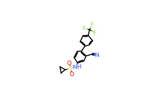 N#Cc1cc(NS(=O)(=O)C2CC2)ccc1-c1ccc(C(F)(F)F)cc1